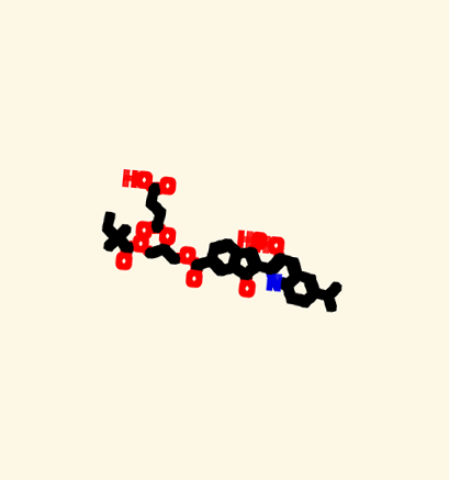 CCC(C)(C)C(=O)OCC(COC(=O)c1ccc2c(c1)C(=O)C(c1nc3ccc(C(C)C)cc3cc1O)=C2O)OC(=O)CCC(=O)O